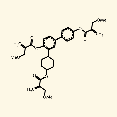 C=C(COC)C(=O)Oc1ccc(-c2ccc(OC(=O)C(=C)COC)c(C3CCC(OC(=O)C(=C)COC)CC3)c2)cc1